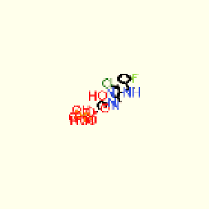 C[C@H](Nc1cc(Cl)nc2c1cnn2[C@@H]1O[C@H](COP(=O)(O)CP(=O)(O)O)C[C@H]1O)c1ccccc1F